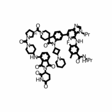 Cc1cc(F)c(Nc2nc(-c3ccc4c(c3)N([C@H]3C[C@@H](N5CCCCC5)C3)C(=O)C43CCN(C(=O)[C@@H]4CCN(C(=O)N5CCC(Nc6cccc7c6C(=O)N(C6CCC(=O)NC6=O)C7=O)CC5)C4)CC3)cc3ncn(C(C)C)c23)cc1C(=O)NC(C)C